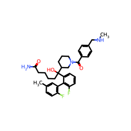 CNCc1ccc(C(=O)N2CCCC(C(O)(CCCCC(N)=O)c3cccc(F)c3-c3cc(C)ccc3F)C2)cc1